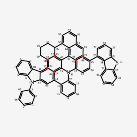 c1ccc(-n2c3ccccc3c3ccc(-c4ccccc4N(c4ccc(-c5cccc6sc7ccccc7c56)cc4)c4ccccc4-c4cccc5cccc(C6CCCCC6)c45)cc32)cc1